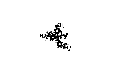 COc1cc(CN(C(=O)CN(c2cccc(N(C)C)c2)S(=O)(=O)c2ccc(C(C)(C)C)cc2)C2CC2)cc(OC)c1